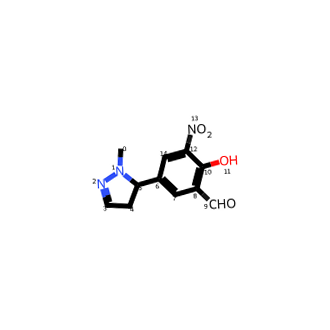 CN1N=CCC1c1cc(C=O)c(O)c([N+](=O)[O-])c1